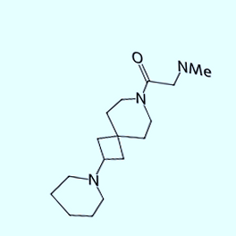 CNCC(=O)N1CCC2(CC1)CC(N1CCCCC1)C2